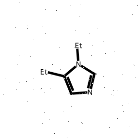 CCc1[c]n[c]n1CC